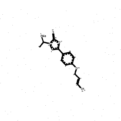 COC(C)n1nc(-c2ccc(OCC=CC(F)(F)F)cc2)oc1=O